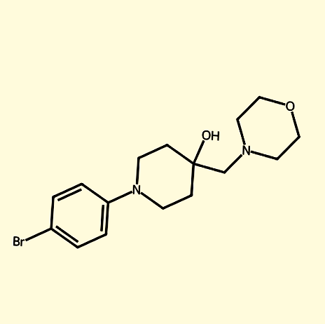 OC1(CN2CCOCC2)CCN(c2ccc(Br)cc2)CC1